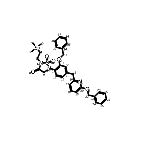 C[Si](C)(C)CCN1C(=O)CN(c2ccc(Cc3cccc(OCc4ccccc4)n3)cc2OCc2ccccc2)S1(=O)=O